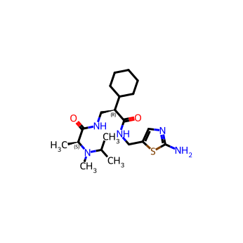 CC(C)N(C)[C@@H](C)C(=O)NC[C@H](C(=O)NCc1cnc(N)s1)C1CCCCC1